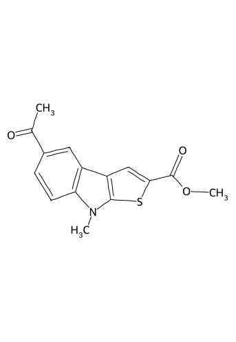 COC(=O)c1cc2c3cc(C(C)=O)ccc3n(C)c2s1